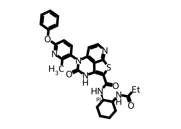 CCC(=O)NC1CCCC[C@H]1NC(=O)c1sc2nccc3c2c1NC(=O)N3c1ccc(Oc2ccccc2)nc1C